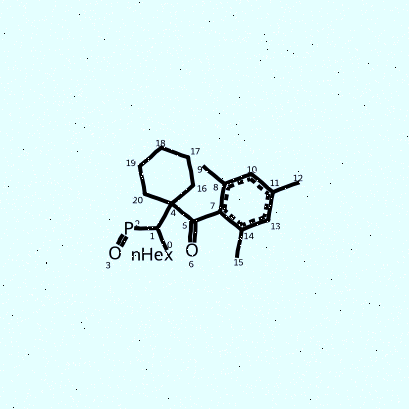 CCCCCCC(P=O)C1(C(=O)c2c(C)cc(C)cc2C)CCCCC1